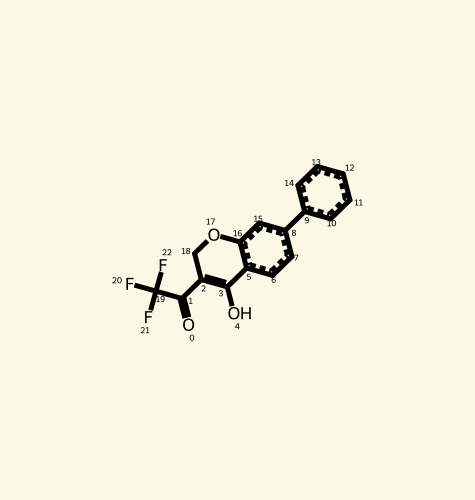 O=C(C1=C(O)c2ccc(-c3ccccc3)cc2OC1)C(F)(F)F